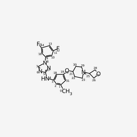 Cc1cc(Nc2ncn(-c3cc(F)cc(F)c3)n2)cc(OC2CCN(C3COC3)CC2)c1